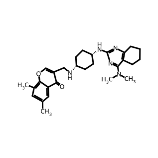 Cc1cc(C)c2occ(CN[C@H]3CC[C@@H](Nc4nc5c(c(N(C)C)n4)CCCC5)CC3)c(=O)c2c1